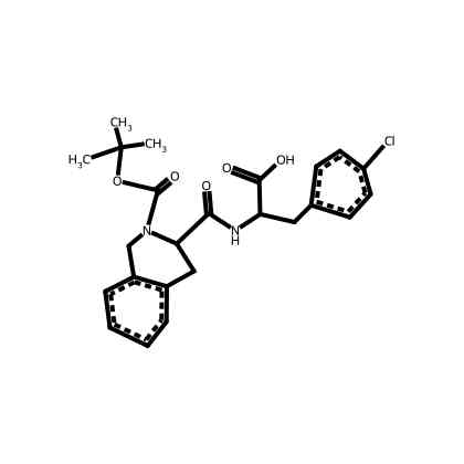 CC(C)(C)OC(=O)N1Cc2ccccc2CC1C(=O)NC(Cc1ccc(Cl)cc1)C(=O)O